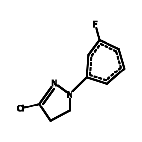 Fc1cccc(N2CCC(Cl)=N2)c1